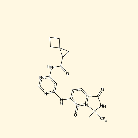 CC1(C(F)(F)F)NC(=O)c2ccc(Nc3cc(NC(=O)C4CC45CCC5)ncn3)c(=O)n21